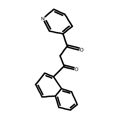 O=C(CC(=O)c1cccc2ccccc12)c1cccnc1